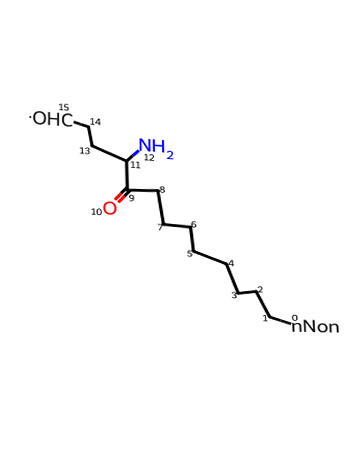 CCCCCCCCCCCCCCCCCC(=O)C(N)CC[C]=O